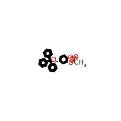 CS(=O)(=O)O[C@H]1CC[C@H](COC(c2ccccc2)(c2ccccc2)c2ccccc2)CC1